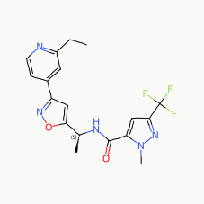 CCc1cc(-c2cc([C@H](C)NC(=O)c3cc(C(F)(F)F)nn3C)on2)ccn1